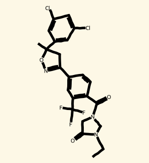 CCN1CN(C(=O)c2ccc(C3=NOC(C)(c4cc(Cl)cc(Cl)c4)C3)cc2C(F)(F)F)CC1=O